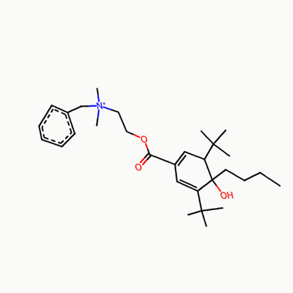 CCCCC1(O)C(C(C)(C)C)=CC(C(=O)OCC[N+](C)(C)Cc2ccccc2)=CC1C(C)(C)C